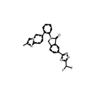 Cc1cn2cc(-c3ccccc3N3Cc4ccc(-c5nnc(C(F)F)o5)cc4C3=O)ccc2n1